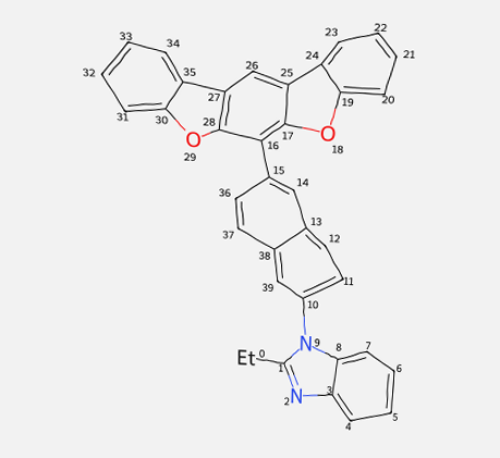 CCc1nc2ccccc2n1-c1ccc2cc(-c3c4oc5ccccc5c4cc4c3oc3ccccc34)ccc2c1